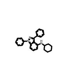 c1ccc(-c2nn(-c3ccccc3)c3cccc(NC4CCCCC4)c23)cc1